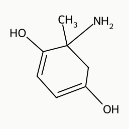 CC1(N)CC(O)=CC=C1O